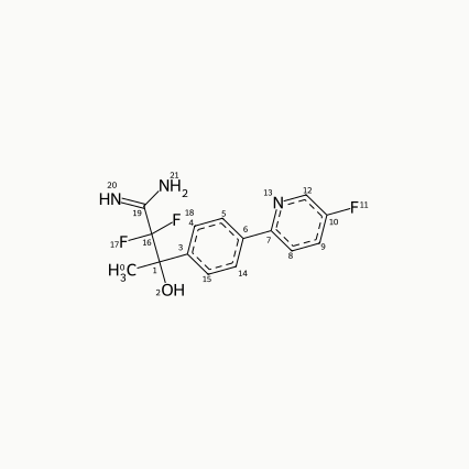 CC(O)(c1ccc(-c2ccc(F)cn2)cc1)C(F)(F)C(=N)N